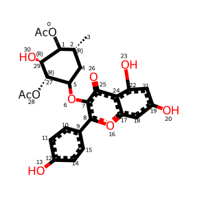 CC(=O)OC1[C@H](C)CC(Oc2c(-c3ccc(O)cc3)oc3cc(O)cc(O)c3c2=O)[C@H](OC(C)=O)[C@@H]1O